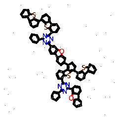 c1ccc(-c2nc(-c3ccc4c(c3)oc3cc(-c5ccc(-c6cccc7c6sc6ccccc67)c6sc7c(-c8nc(-c9ccccc9)nc(-c9cccc%10c9oc9ccccc9%10)n8)cccc7c56)ccc34)nc(-c3cccc4c3sc3c(-c5cccc6c5sc5ccccc56)cccc34)n2)cc1